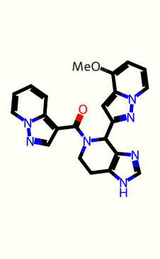 COc1cccn2nc(C3c4nc[nH]c4CCN3C(=O)c3cnn4ccccc34)cc12